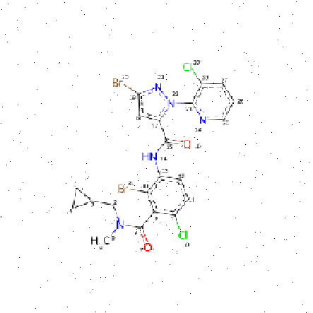 CN(CC1CC1)C(=O)c1c(Cl)ccc(NC(=O)c2cc(Br)nn2-c2ncccc2Cl)c1Br